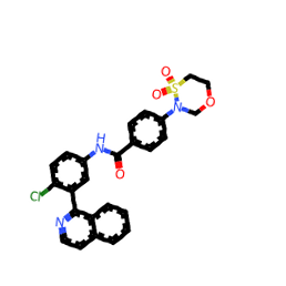 O=C(Nc1ccc(Cl)c(-c2nccc3ccccc23)c1)c1ccc(N2COCCS2(=O)=O)cc1